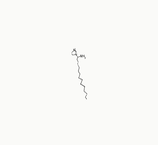 CCCCCCCCCCCCCCC(N)N1C=NCC1